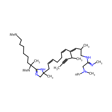 CC#CC(C)C(/C=C\CC/C=C\CC1(C)CN=C(C(C)(CCCCCCNC)NC)N1)=C\C(C)CN/C(CN(C)CCC)=N\C